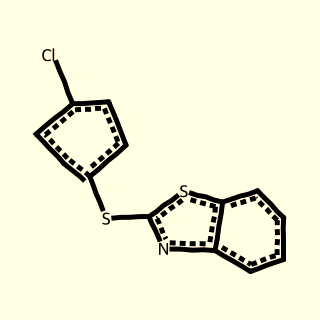 Clc1ccc(Sc2nc3ccccc3s2)cc1